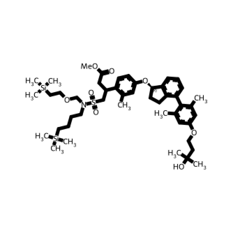 COC(=O)CC(CS(=O)(=O)N(CCCC[Si](C)(C)C)COCC[Si](C)(C)C)c1ccc(O[C@@H]2CCc3c(-c4c(C)cc(OCCC(C)(C)O)cc4C)cccc32)cc1C